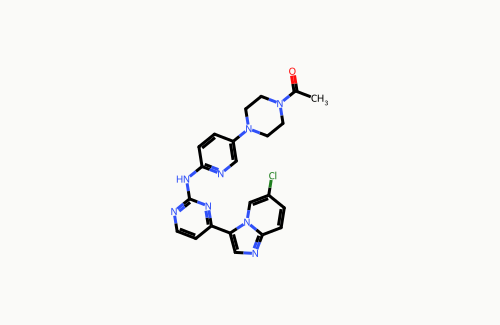 CC(=O)N1CCN(c2ccc(Nc3nccc(-c4cnc5ccc(Cl)cn45)n3)nc2)CC1